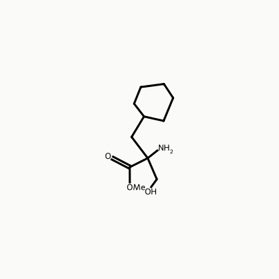 COC(=O)C(N)(CO)CC1CCCCC1